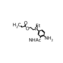 C=CC(=O)OCCN(CC)c1ccc(N)c(NC(C)=O)c1